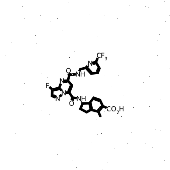 Cc1c(C(=O)O)ccc2c1CC[C@@H]2NC(=O)c1cc(C(=O)NCc2cccc(C(F)(F)F)n2)nc2c(F)cnn12